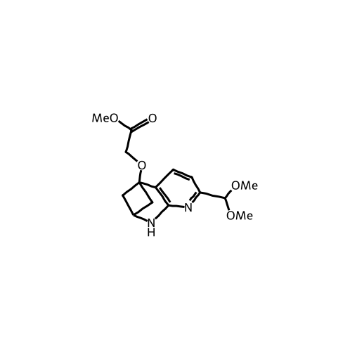 COC(=O)COC12CC(C1)Nc1nc(C(OC)OC)ccc12